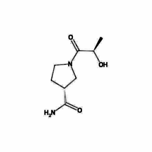 C[C@@H](O)C(=O)N1CC[C@@H](C(N)=O)C1